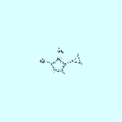 Cc1cnc(C2CC2)n1C